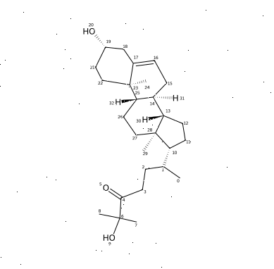 CC(CCC(=O)C(C)(C)O)[C@H]1CC[C@H]2[C@@H]3CC=C4C[C@@H](O)CC[C@]4(C)[C@H]3CC[C@]12C